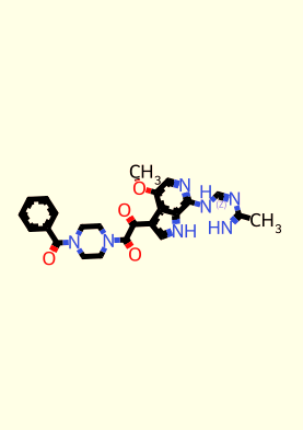 COc1cnc(N/C=N\C(C)=N)c2[nH]cc(C(=O)C(=O)N3CCN(C(=O)c4ccccc4)CC3)c12